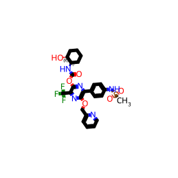 CS(=O)(=O)Nc1ccc(-c2nc(OC(=O)N[C@@H]3CCCC[C@H]3O)c(C(F)(F)F)nc2OCc2ccccn2)cc1